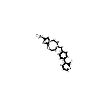 O=[N+]([O-])c1cn2c(n1)OCCN(Cc1ccc(-c3cccnc3F)cc1)CC2